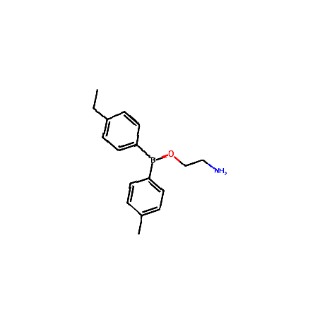 CCc1ccc(B(OCCN)c2ccc(C)cc2)cc1